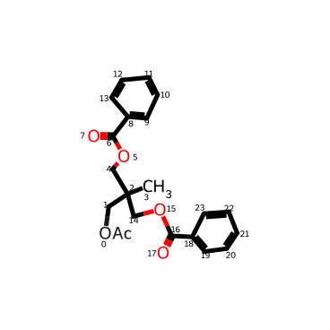 CC(=O)OCC(C)(COC(=O)c1ccccc1)COC(=O)c1ccccc1